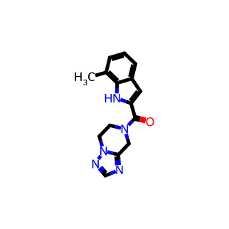 Cc1cccc2cc(C(=O)N3CCn4ncnc4C3)[nH]c12